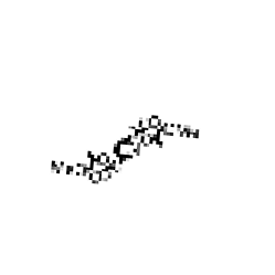 COC(=O)C(C)OC(=O)Oc1ccc(OC(=O)OC(C)C(=O)OC)nc1